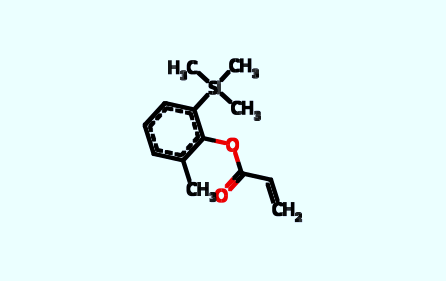 C=CC(=O)Oc1c(C)cccc1[Si](C)(C)C